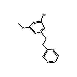 COc1[c]c(O)cc(OCc2ccccc2)c1